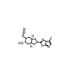 [N-]=[N+]=NC1C[C@H]2CN(c3nn4c(I)cnc4s3)C[C@H]2C[C@@H]1O